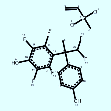 C=C[Si](C)(Cl)Cl.CC(c1ccc(O)cc1)(c1c(F)c(F)c(O)c(F)c1F)C(F)F